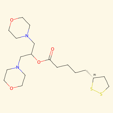 O=C(CCCC[C@@H]1CCSS1)OC(CN1CCOCC1)CN1CCOCC1